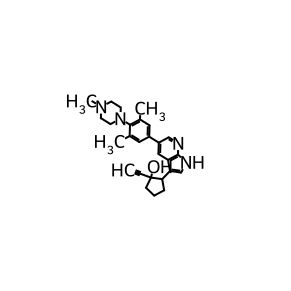 C#CC1(O)CCCC1c1c[nH]c2ncc(-c3cc(C)c(N4CCN(C)CC4)c(C)c3)cc12